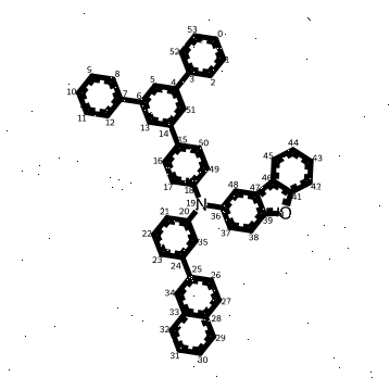 c1ccc(-c2cc(-c3ccccc3)cc(-c3ccc(N(c4cccc(-c5ccc6ccccc6c5)c4)c4ccc5oc6ccccc6c5c4)cc3)c2)cc1